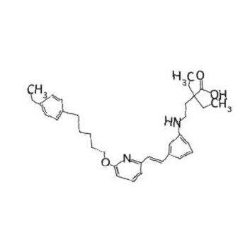 CCc1ccc(CCCCCOc2cccc(C=Cc3cccc(NCCC(CC)(CC)C(=O)O)c3)n2)cc1